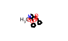 COc1nccc(C(=O)OCc2ccccc2)c1C(=O)Oc1ccccc1